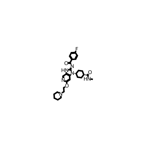 CNC(=O)[C@H]1CC[C@H](n2/c(=N/C(=O)c3ccc(F)cc3)[nH]c3cnc(OCCN4CCCCC4)cc32)CC1